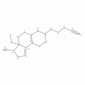 CCC12CCC3=C(CCC(CCCC#N)O3)C1=CCC2O